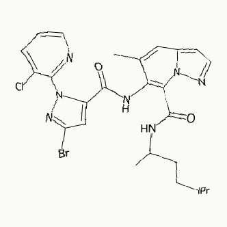 Cc1cc2ccnn2c(C(=O)NC(C)CCC(C)C)c1NC(=O)c1cc(Br)nn1-c1ncccc1Cl